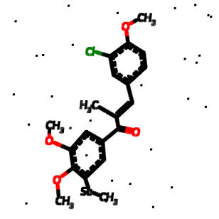 COc1ccc(/C=C(\C)C(=O)c2cc(OC)c(OC)c([Se]C)c2)cc1Cl